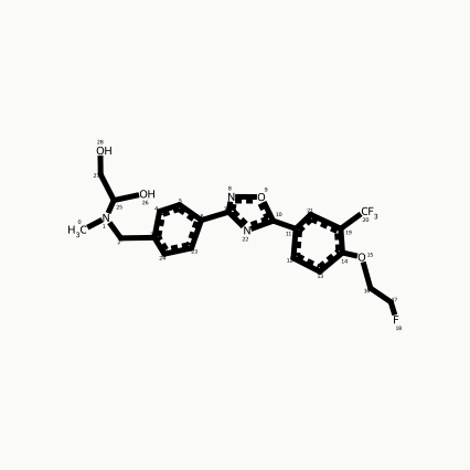 CN(Cc1ccc(-c2noc(-c3ccc(OCCF)c(C(F)(F)F)c3)n2)cc1)C(O)CO